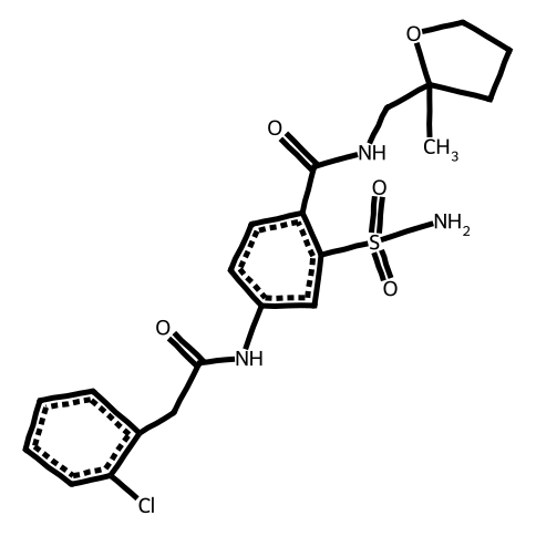 CC1(CNC(=O)c2ccc(NC(=O)Cc3ccccc3Cl)cc2S(N)(=O)=O)CCCO1